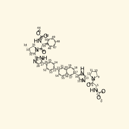 COC(=O)NCC(=O)N1CCC[C@H]1c1ncc(-c2ccc3cc(-c4ccc(-c5cnc([C@@H]6C[C@H](C)CN6C(=O)[C@H](NC(=O)OC)c6ccccc6)[nH]5)cc4)ccc3c2)[nH]1